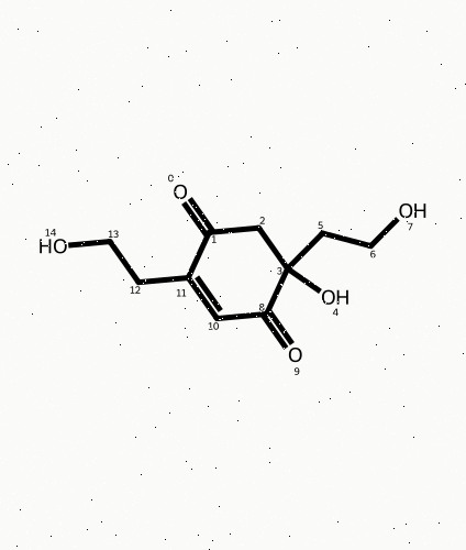 O=C1CC(O)(CCO)C(=O)C=C1CCO